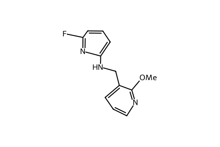 COc1ncccc1CNc1cccc(F)n1